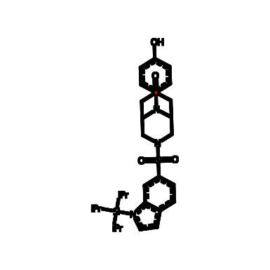 CC(C)[Si](C(C)C)(C(C)C)n1ccc2ccc(S(=O)(=O)N3CC4CC(=O)CC(C3)N4c3ccc(O)cc3)cc21